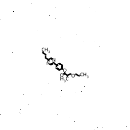 CCCCc1cnc(-c2ccc(OC(=O)C(C)COCCC)cc2)cn1